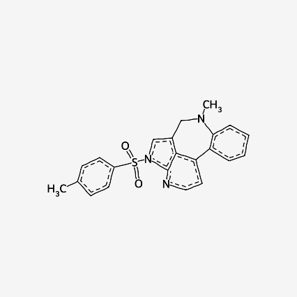 Cc1ccc(S(=O)(=O)n2cc3c4c(ccnc42)-c2ccccc2N(C)C3)cc1